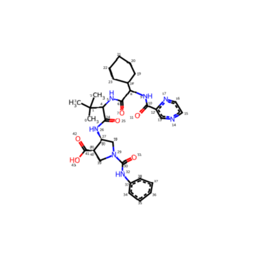 CC(C)(C)C(NC(=O)C(NC(=O)c1cnccn1)C1CCCCC1)C(=O)N[C@H]1CN(C(=O)Nc2ccccc2)C[C@H]1C(=O)O